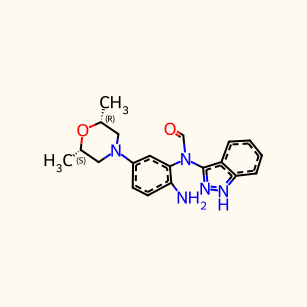 C[C@@H]1CN(c2ccc(N)c(N(C=O)c3n[nH]c4ccccc34)c2)C[C@H](C)O1